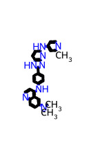 Cc1cc(Nc2ccc3[nH]c(-c4ccc(Nc5ccnc6ccc(N(C)C)cc56)cc4)nc3n2)ccn1